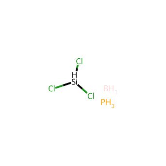 B.Cl[SiH](Cl)Cl.P